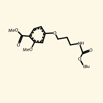 COC(=O)c1ccc(OCCCNC(=O)OC(C)(C)C)cc1OC